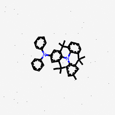 Cc1cc2c3c(c1)C(C)(C)c1cc(N(c4ccccc4)c4ccccc4)cc4c1N3c1c(cccc1C4(C)C)C2(C)C